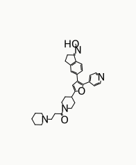 O=C(CCN1CCCCC1)N1CCC(c2cc(-c3ccc4c(c3)CCC4=NO)c(-c3ccncc3)o2)CC1